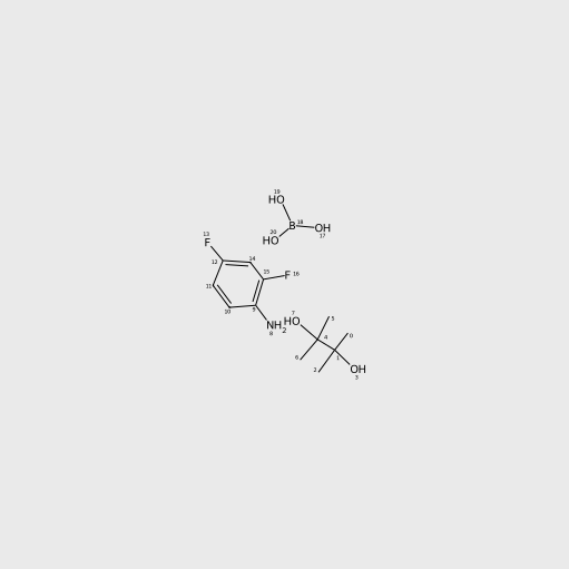 CC(C)(O)C(C)(C)O.Nc1ccc(F)cc1F.OB(O)O